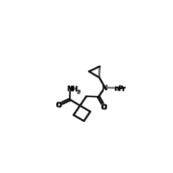 CCCN(C(=O)CC1(C(N)=O)CCC1)C1CC1